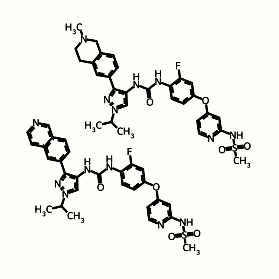 CC(C)n1cc(NC(=O)Nc2ccc(Oc3ccnc(NS(C)(=O)=O)c3)cc2F)c(-c2ccc3c(c2)CCN(C)C3)n1.CC(C)n1cc(NC(=O)Nc2ccc(Oc3ccnc(NS(C)(=O)=O)c3)cc2F)c(-c2ccc3cnccc3c2)n1